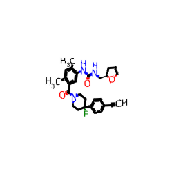 C#Cc1ccc(C2(F)CCN(C(=O)c3cc(NC(=O)NC[C@H]4CCCO4)c(C)cc3C)CC2)cc1